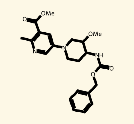 COC(=O)c1cc(N2CCC(NC(=O)OCc3ccccc3)C(OC)C2)cnc1C